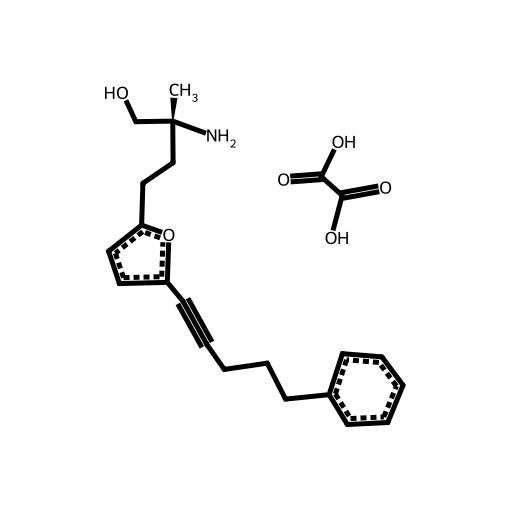 C[C@](N)(CO)CCc1ccc(C#CCCCc2ccccc2)o1.O=C(O)C(=O)O